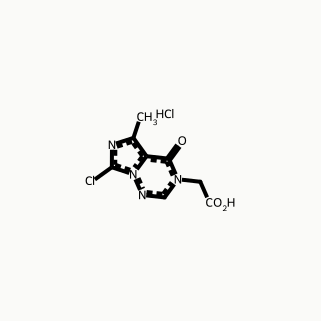 Cc1nc(Cl)n2ncn(CC(=O)O)c(=O)c12.Cl